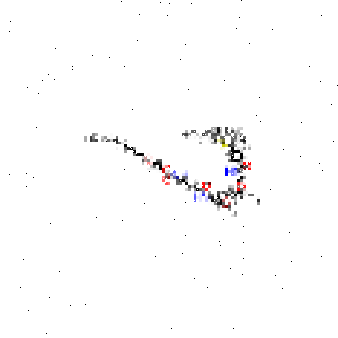 CCCCCCCCCCCCCCCCCCOCCCOC(=O)NCCCCCC(=O)NCCC(C)(C)OCCC(C)(C)OCCNC(=O)c1ccc(C(C)SSC[C@@H](NC(C)=O)C(=O)O)cc1